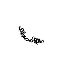 COc1ccc2c(c1C1CCN(C[C@H]3CC[C@H](n4cc5cc(NC(=O)c6cccc(C(F)(F)F)n6)ncc5n4)CC3)CC1)n(C)c(=O)n2C1CCC(=O)NC1=O